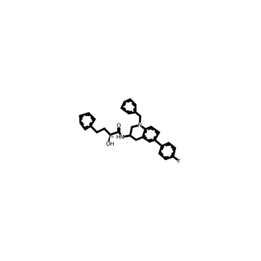 O=C(NC1Cc2cc(-c3ccc(F)cc3)ccc2N(Cc2ccccc2)C1)[C@@H](O)CCc1ccccc1